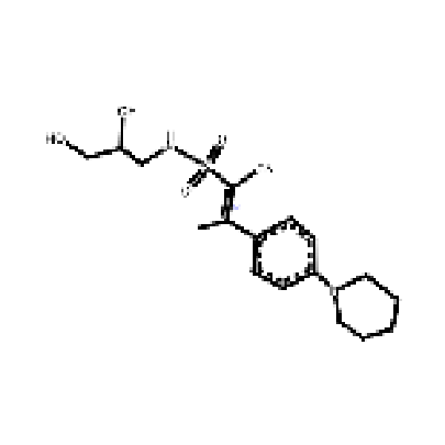 C/C(=C(/C#N)S(=O)(=O)NCC(O)CO)c1ccc(N2CCCCC2)cc1